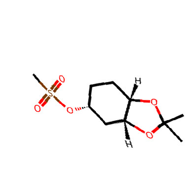 CC1(C)O[C@H]2CC[C@@H](OS(C)(=O)=O)C[C@H]2O1